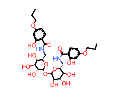 CCCOc1ccc(C(=O)NC[C@H]2O[C@H](O[C@H]3O[C@H](CNC(=O)c4ccc(OCCC)cc4O)[C@@H](O)[C@H](O)[C@H]3O)[C@H](O)[C@@H](O)[C@@H]2O)c(O)c1